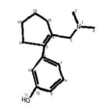 CN(C)CC1=C(c2cccc(O)c2)CCCC1